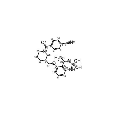 N#Cc1ccc(C(=O)N2CCCC(COc3cccc4c3C(N)=NS(O)(O)N4)C2)cc1